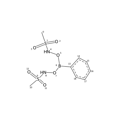 CS(=O)(=O)NOB(ONS(C)(=O)=O)c1ccccc1